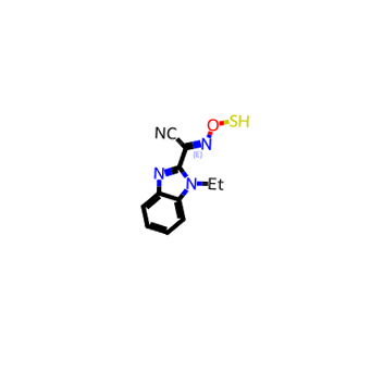 CCn1c(/C(C#N)=N/OS)nc2ccccc21